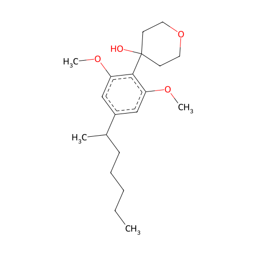 CCCCCC(C)c1cc(OC)c(C2(O)CCOCC2)c(OC)c1